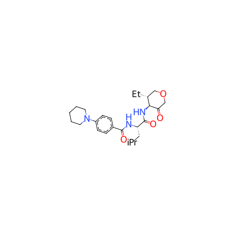 CC[C@@H]1COCC(=O)[C@H]1NC(=O)[C@H](CC(C)C)NC(=O)c1ccc(N2CCCCC2)cc1